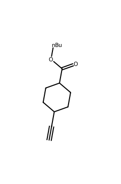 C#CC1CCC(C(=O)OCCCC)CC1